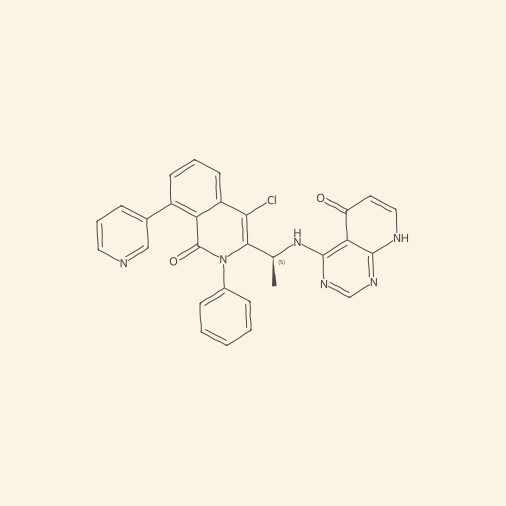 C[C@H](Nc1ncnc2[nH]ccc(=O)c12)c1c(Cl)c2cccc(-c3cccnc3)c2c(=O)n1-c1ccccc1